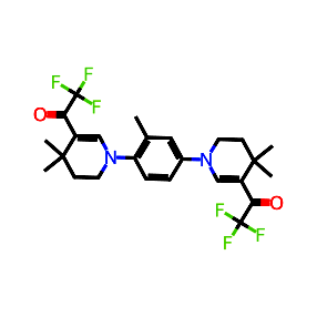 Cc1cc(N2C=C(C(=O)C(F)(F)F)C(C)(C)CC2)ccc1N1C=C(C(=O)C(F)(F)F)C(C)(C)CC1